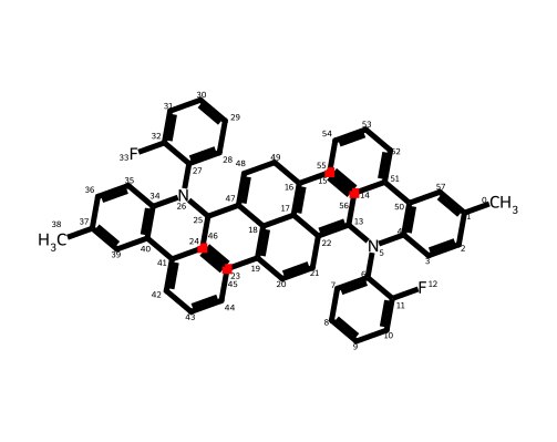 Cc1ccc(N(c2ccccc2F)c2ccc3c4c5c(ccc24)C=CC(N(c2ccccc2F)c2ccc(C)cc2-c2ccccc2)C5=CC3)c(-c2ccccc2)c1